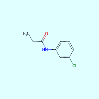 O=C(CC(F)(F)F)Nc1cccc(Cl)c1